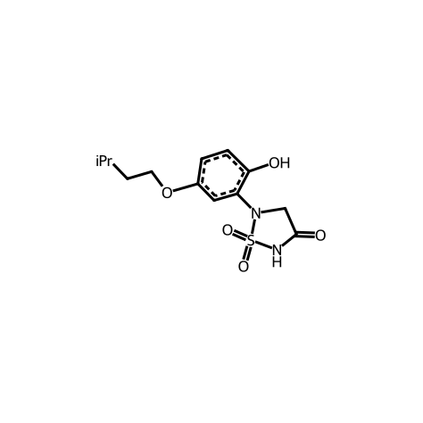 CC(C)CCOc1ccc(O)c(N2CC(=O)NS2(=O)=O)c1